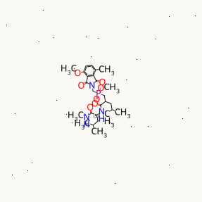 CNC(=O)[C@H](CC(C)C)NC(=O)C(CC(C)C)CP(=O)(CN1C(=O)c2c(C)ccc(OC)c2C1=O)OC